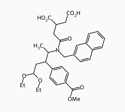 CCOC(CC(c1ccc(C(=O)OC)cc1)C(C)N(Cc1ccc2ccccc2c1)C(=O)CC(CC(=O)O)C(=O)O)OCC